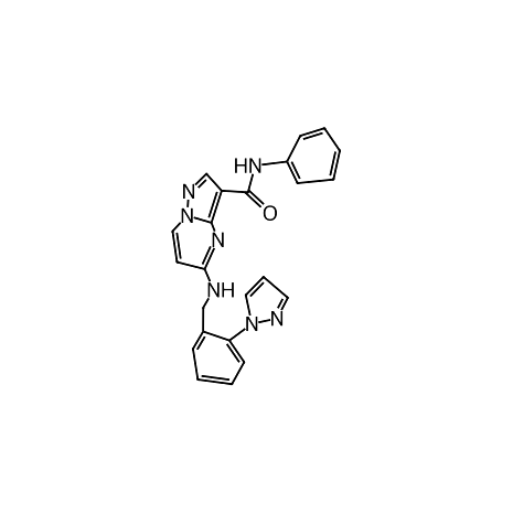 O=C(Nc1ccccc1)c1cnn2ccc(NCc3ccccc3-n3cccn3)nc12